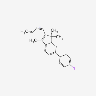 C=C/C=C\C1=C(C)C2=CC=C(C3C=CC(I)=CC3)CC2C1(C)C